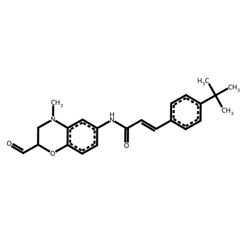 CN1CC(C=O)Oc2ccc(NC(=O)/C=C/c3ccc(C(C)(C)C)cc3)cc21